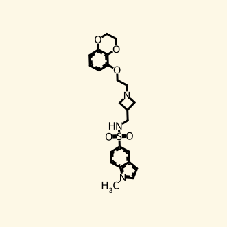 Cn1ccc2cc(S(=O)(=O)NCC3CN(CCOc4cccc5c4OCCO5)C3)ccc21